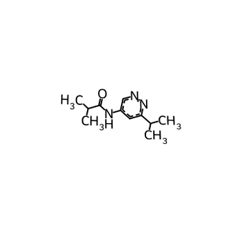 CC(C)C(=O)Nc1cnnc(C(C)C)c1